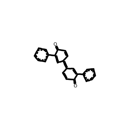 O=C1C=C/C(=C2/C=CC(=O)C(c3ccccc3)=C2)C=C1c1ccccc1